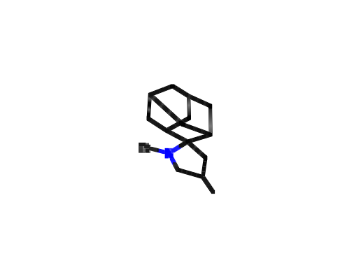 CCN1CC(C)CC12C1CC3CC(C1)CC2C3